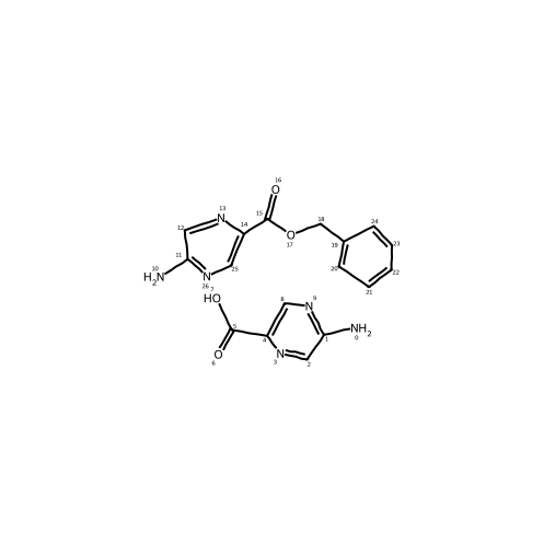 Nc1cnc(C(=O)O)cn1.Nc1cnc(C(=O)OCc2ccccc2)cn1